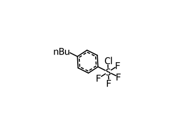 CCCCc1ccc(S(F)(F)(F)(F)Cl)cc1